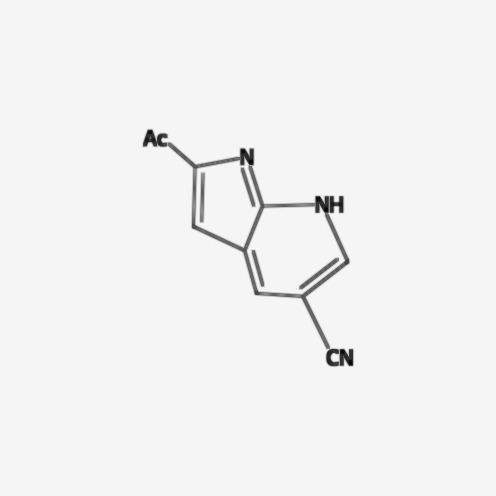 CC(=O)c1cc2cc(C#N)c[nH]c-2n1